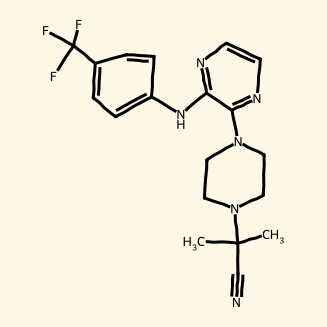 CC(C)(C#N)N1CCN(c2nccnc2Nc2ccc(C(F)(F)F)cc2)CC1